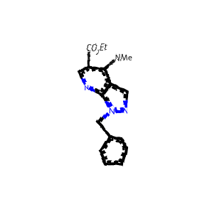 CCOC(=O)c1cnc2c(cnn2Cc2ccccc2)c1NC